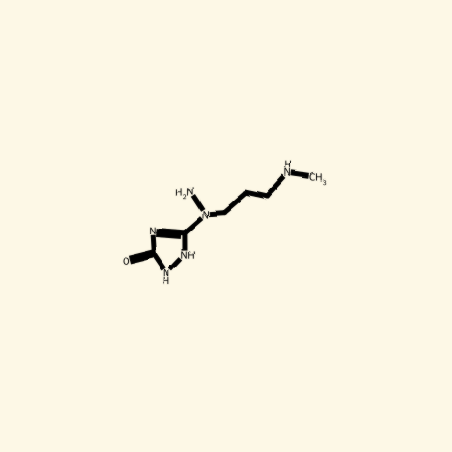 CNCCCN(N)c1nc(=O)[nH][nH]1